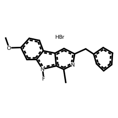 Br.COc1ccc2c3cc(Cc4ccccc4)nc(C)c3n(F)c2c1